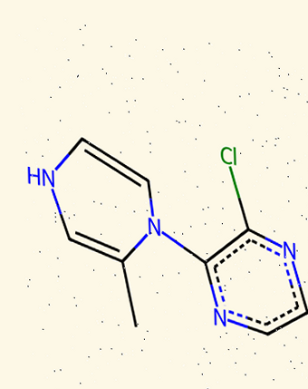 CC1=CNC=CN1c1nccnc1Cl